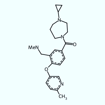 CNCc1cc(C(=O)N2CCCN(C3CC3)CC2)ccc1Oc1ccc(C)nc1